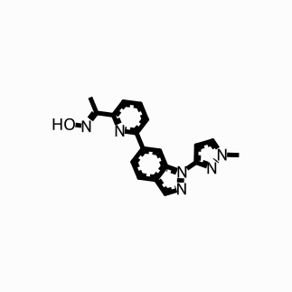 CC(=NO)c1cccc(-c2ccc3cnn(-c4ccn(C)n4)c3c2)n1